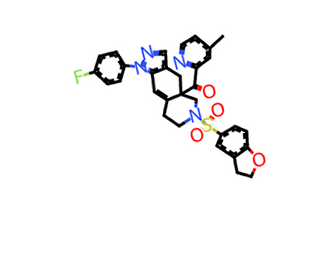 Cc1ccnc(C(=O)C23Cc4cnn(-c5ccc(F)cc5)c4C=C2CCN(S(=O)(=O)c2ccc4c(c2)CCO4)C3)c1